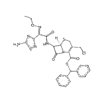 CCO/N=C(/C(=O)NC1C(=O)N2C(C(=O)OC(c3ccccc3)c3ccccc3)=C(CCl)CS[C@H]12)c1nsc(N)n1